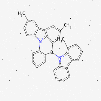 Cc1ccc2c(c1)c1cc(C)cc3c1n2-c1ccccc1B3n1c2ccccc2c2cccc(C)c21